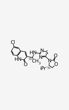 CC(C)[C@H]1COC(=O)N1c1nc(N[C@@H](C)c2cc3cc(Cl)ccc3[nH]c2=O)ns1